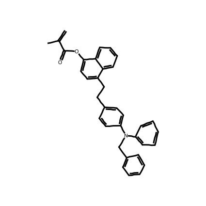 C=C(C)C(=O)Oc1ccc(CCc2ccc(N(Cc3ccccc3)c3ccccc3)cc2)c2ccccc12